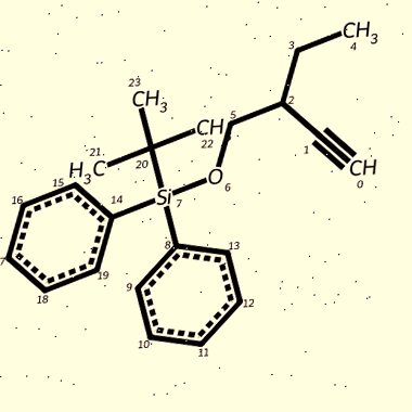 C#CC(CC)CO[Si](c1ccccc1)(c1ccccc1)C(C)(C)C